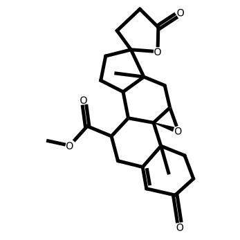 COC(=O)C1CC2=CC(=O)CCC2(C)[C@@]23OC2CC2(C)C(CCC24CCC(=O)O4)C13